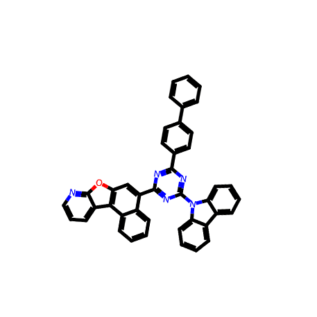 c1ccc(-c2ccc(-c3nc(-c4cc5oc6ncccc6c5c5ccccc45)nc(-n4c5ccccc5c5ccccc54)n3)cc2)cc1